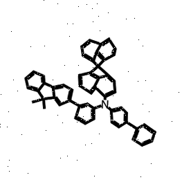 CC1(C)c2ccccc2-c2ccc(-c3cccc(N(c4ccc(-c5ccccc5)cc4)c4ccc5c6c(cccc46)C54c5cccc6cccc4c56)c3)cc21